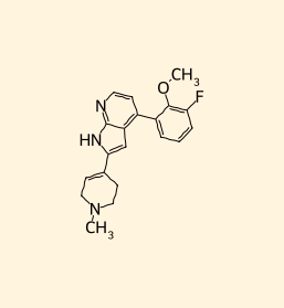 COc1c(F)cccc1-c1ccnc2[nH]c(C3=CCN(C)CC3)cc12